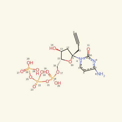 C#CC[C@]1(n2ccc(N)nc2=O)C[C@H](O)[C@@H](COP(=O)(O)OP(=O)(O)OP(=O)(O)O)O1